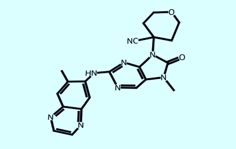 Cc1cc2nccnc2cc1Nc1ncc2c(n1)n(C1(C#N)CCOCC1)c(=O)n2C